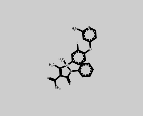 CC1=C(C(N)=O)C(=O)N(c2ccccc2)[N+]1(C)c1ccc(Oc2ccnc(N)c2)c(F)c1